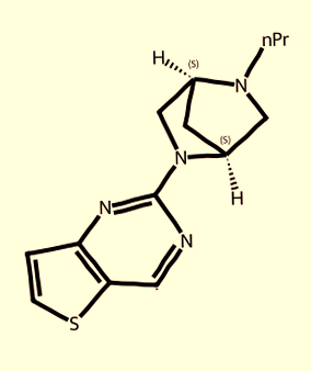 CCCN1C[C@@H]2C[C@H]1CN2c1n[c]c2sccc2n1